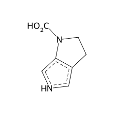 O=C(O)N1CCc2c[nH]cc21